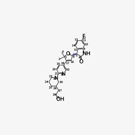 CC1(C)O/C(=C2/C(=O)Nc3cc(F)ccc32)C=C1c1ccc(N2CCCC(CCO)C2)nc1